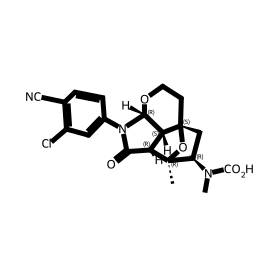 CN(C(=O)O)[C@@H]1C[C@]23CCO[C@@H]4[C@H]2[C@@H](C(=O)N4c2ccc(C#N)c(Cl)c2)[C@@]1(C)O3